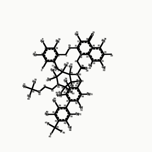 [2H]c1c([2H])c(F)c(F)c(CSc2c([2H])c(=O)c3c([2H])c(C)c([2H])c([2H])c3n2CC(=O)N(Cc2c([2H])c([2H])c(-c3c([2H])c([2H])c(C(F)(F)F)c([2H])c3[2H])c([2H])c2[2H])C2([2H])C([2H])([2H])C([2H])([2H])N(CCOC([2H])([2H])[2H])C([2H])([2H])C2([2H])[2H])c1[2H]